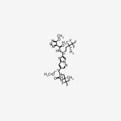 COC[C@H](c1cnn2cc([C@H](CCC(C)(C)C(F)(F)F)NC(=O)c3nonc3OC)nc2c1)N1C[C@@](C)(C(F)(F)F)NC1=O